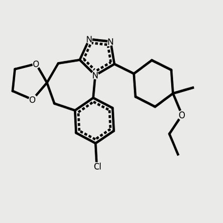 CCOC1(C)CCC(c2nnc3n2-c2ccc(Cl)cc2CC2(C3)OCCO2)CC1